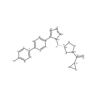 Cc1ccc(-c2ccc(-c3nnnn3C[C@@H]3CCN(C(=O)C4CC4)C3)cc2)cc1